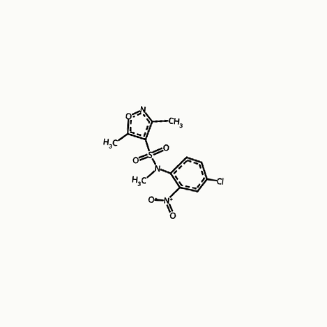 Cc1noc(C)c1S(=O)(=O)N(C)c1ccc(Cl)cc1[N+](=O)[O-]